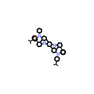 CC(C)c1ccc(N(c2ccccc2)c2ccc3c4cc5c(cc4n4c6cccc(-c7ccccc7)c6c2c34)c2ccc(N(c3ccccc3)c3ccc(C(C)C)cc3)c3c4c(-c6ccccc6)cccc4n5c23)cc1